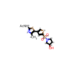 CC(=O)Nc1nc(C)c(-c2csc(S(=O)(=O)N3CCC(O)C3)c2)s1